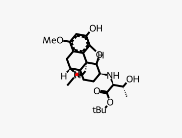 COc1cc(O)c2c3c1C[C@@H]1[C@@H]4CC[C@H](N[C@H](C(=O)OC(C)(C)C)[C@@H](C)O)[C@H](O2)[C@]34CCN1C